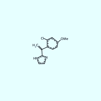 C=C(c1ncc[nH]1)c1ccc(OC)cc1Cl